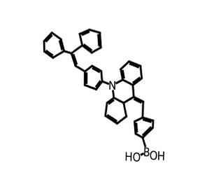 OB(O)c1ccc(/C=C2/c3ccccc3N(c3ccc(C=C(c4ccccc4)c4ccccc4)cc3)C3=CC=CCC32)cc1